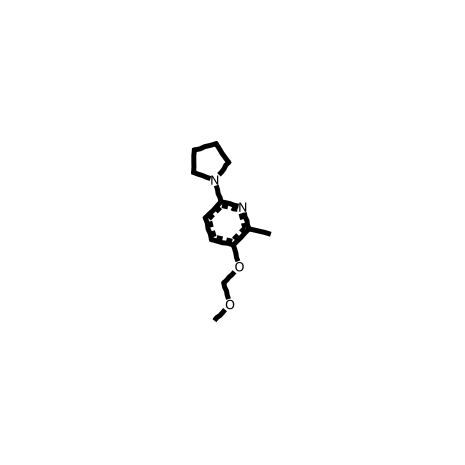 COCOc1ccc(N2CCCC2)nc1C